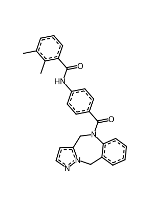 Cc1cccc(C(=O)Nc2ccc(C(=O)N3Cc4ccnn4Cc4ccccc43)cc2)c1C